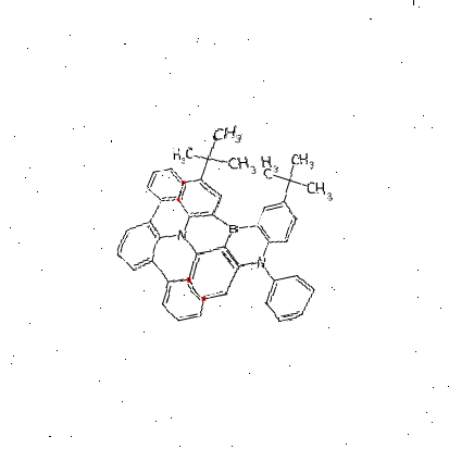 CC(C)(C)c1ccc2c(c1)B1c3cc(C(C)(C)C)ccc3N(c3c(-c4ccccc4)cccc3-c3ccccc3)c3cccc(c31)N2c1ccccc1